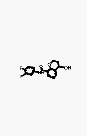 O=C(Nc1ccc(F)c(F)c1)c1cccc2c1OCCC2O